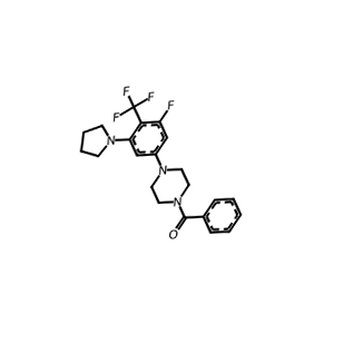 O=C(c1ccccc1)N1CCN(c2cc(F)c(C(F)(F)F)c(N3CCCC3)c2)CC1